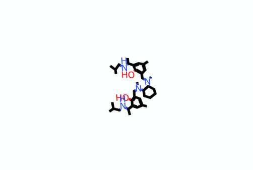 Cc1cc(CN(C)C2CCCCC2N(C)Cc2cc(C)cc(C(C)NCC(C)C)c2O)c(O)c(C(C)NCC(C)C)c1